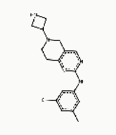 Cc1cc(Cl)cc(Nc2ncc3c(n2)CCN(C2CNC2)C3)c1